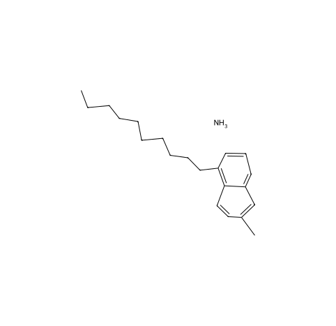 CCCCCCCCCCc1cccc2cc(C)ccc12.N